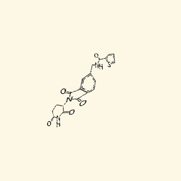 O=C1CCC(N2C(=O)c3ccc(CNC(=O)c4cccs4)cc3C2=O)C(=O)N1